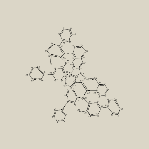 Cc1ccc(-c2ccccc2)cc1N(c1cc(-c2ccccc2)ccc1C)c1c2ccccc2cc2c1c1cccc3c4c(N(c5cc(-c6ccccc6)ccc5C)c5cc(-c6ccccc6)ccc5C)c5ccccc5cc4n2c13